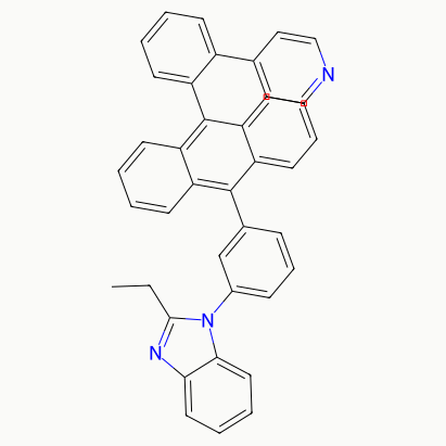 CCc1nc2ccccc2n1-c1cccc(-c2c3ccccc3c(-c3ccccc3-c3ccncc3)c3ccccc23)c1